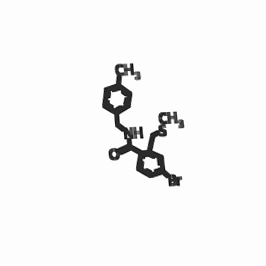 CSCc1cc(Br)ccc1C(=O)NCc1ccc(C)cc1